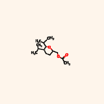 CC(=O)OCC1CCC(C(C)C)C(C(C)C)O1